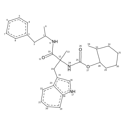 CC(Cc1ccccc1)NC(=O)C(C)(Cc1c[nH]c2ccccc12)NC(=O)OC1CCCCC1C